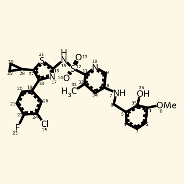 COc1cccc(CNc2cnc(S(=O)(=O)Nc3nc(-c4ccc(F)c(Cl)c4)c(C4CC4)s3)c(C)c2)c1O